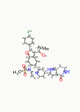 CNC(=O)c1c(-c2ccc(F)cc2)oc2cc(N(C)S(C)(=O)=O)c(-c3cc(-c4cc5c([nH]4)CCNC5=O)ccn3)cc12